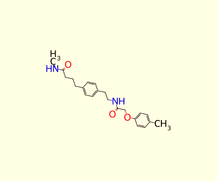 CNC(=O)CCCc1ccc(CCNC(=O)COc2ccc(C)cc2)cc1